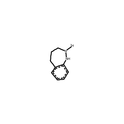 [2H]N1CCCc2ccccc2N1